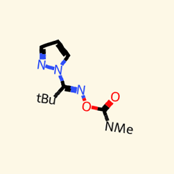 CNC(=O)ON=C(n1cccn1)C(C)(C)C